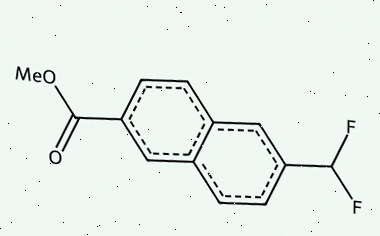 COC(=O)c1ccc2cc(C(F)F)ccc2c1